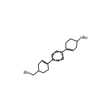 CCCCC1CC=C(c2ccc(C3=CCC(CC(C)CC)CC3)cc2)CC1